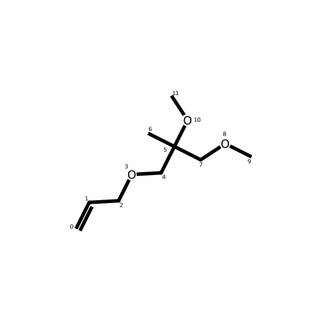 C=CCOCC(C)(COC)OC